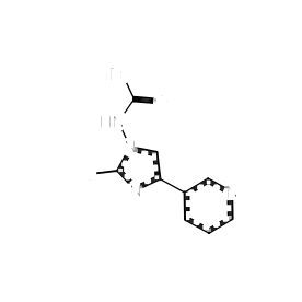 Cc1nc(-c2cccnc2)cn1NC(=O)C(C)C